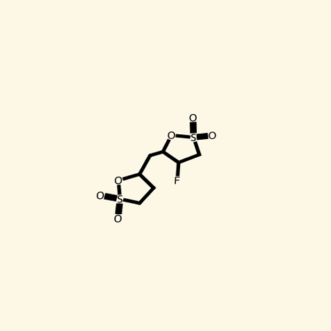 O=S1(=O)CCC(CC2OS(=O)(=O)CC2F)O1